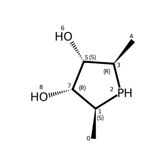 C[C@@H]1P[C@H](C)[C@@H](O)[C@H]1O